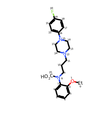 CCOc1ccccc1N(CCCN1CCN(c2ccc(F)cc2)CC1)C(=O)O